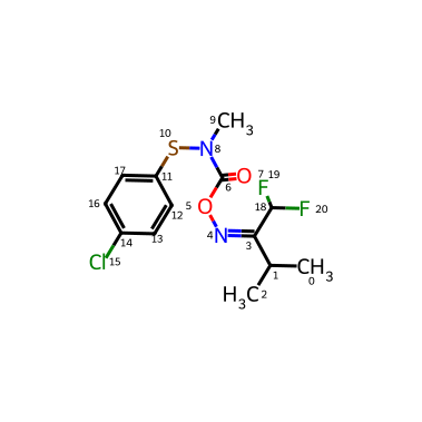 CC(C)C(=NOC(=O)N(C)Sc1ccc(Cl)cc1)C(F)F